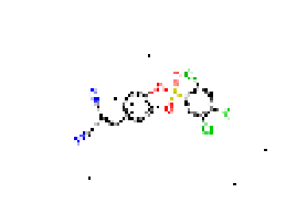 N#CC(C#N)=Cc1ccc(OS(=O)(=O)c2cc(Cl)c(Cl)cc2Cl)cc1